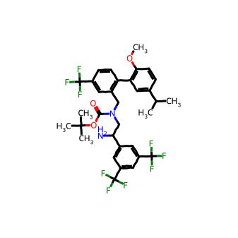 COc1ccc(C(C)C)cc1-c1ccc(C(F)(F)F)cc1CN(CC(N)c1cc(C(F)(F)F)cc(C(F)(F)F)c1)C(=O)OC(C)(C)C